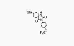 CC(C)(C)C1CCC2(CC1)NC(=O)N(c1ccc(OC(F)(F)F)cc1)C2=O